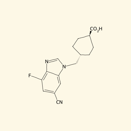 N#Cc1cc(F)c2ncn(C[C@H]3CC[C@H](C(=O)O)CC3)c2c1